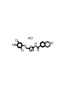 Cl.O=C(Nc1nnc(COc2cc(Cl)c(Cl)cc2Cl)s1)c1ccc2c(c1)CCNC2